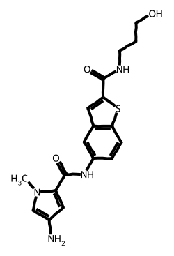 Cn1cc(N)cc1C(=O)Nc1ccc2sc(C(=O)NCCCO)cc2c1